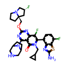 Nc1nc2c(-c3c(F)c4nc(OC[C@@]56CCCN5C[C@H](F)C6)nc(N5C6CCC5CNC6)c4c(=O)n3CC3CC3)ccc(F)c2s1